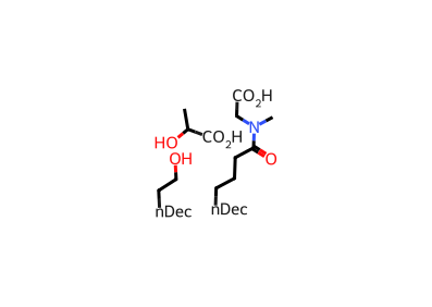 CC(O)C(=O)O.CCCCCCCCCCCCCC(=O)N(C)CC(=O)O.CCCCCCCCCCCCO